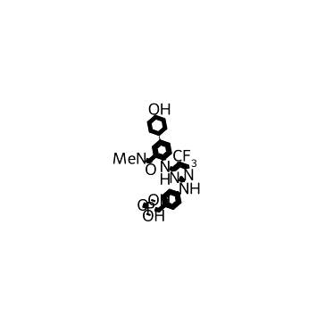 CNC(=O)c1cc([C@H]2CC[C@H](O)CC2)ccc1Nc1nc(Nc2ccc(CP(=O)(O)O)cc2)ncc1C(F)(F)F